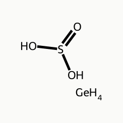 O=S(O)O.[GeH4]